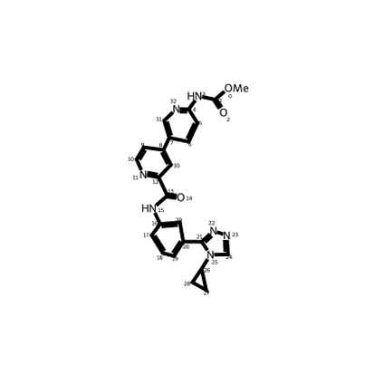 COC(=O)Nc1ccc(-c2ccnc(C(=O)Nc3cccc(-c4nncn4C4CC4)c3)c2)cn1